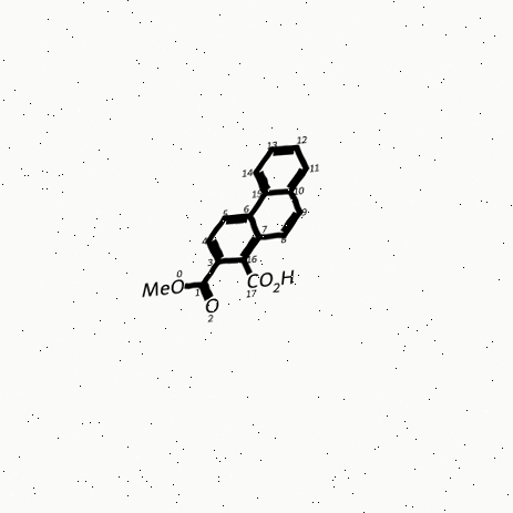 COC(=O)c1ccc2c(ccc3ccccc32)c1C(=O)O